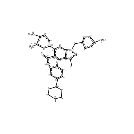 COc1ccc(Cn2nc(C)c3c4c(c(-c5ccc(OC)c(C(F)(F)F)c5)nc32)c(=O)[nH]c2cc(N3CCNCC3)ccc24)cc1